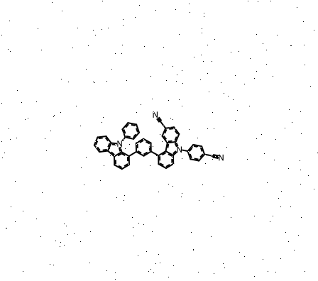 N#Cc1ccc(-n2c3ccc(C#N)cc3c3c(-c4cccc(-c5cccc6c7ccccc7n(-c7ccccc7)c56)c4)cccc32)cc1